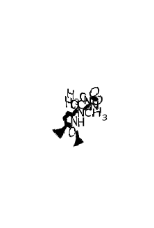 Cn1c(C(C)(C)NC(=O)c2ccc(C3CC3)c(OCC3CC3)n2)noc1=O